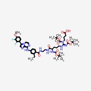 CCc1cc(Nc2nccn3c(-c4ccc(OC)c(F)c4F)cnc23)ccc1C(=O)NCCNC(=O)C(CCCN/C(=N/C(=O)OC(C)(C)C)N(CCCC(=O)O)C(=O)OC(C)(C)C)NC(=O)OC(C)(C)C